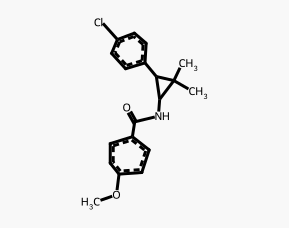 COc1ccc(C(=O)NC2C(c3ccc(Cl)cc3)C2(C)C)cc1